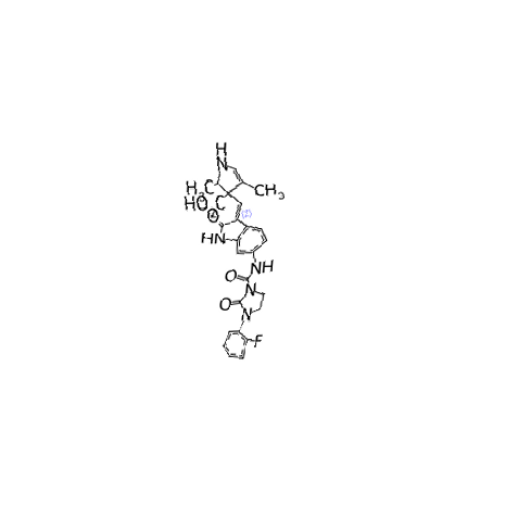 CC1=CNC(C)C1(/C=C1\C(=O)Nc2cc(NC(=O)N3CCN(c4ccccc4F)C3=O)ccc21)C(=O)O